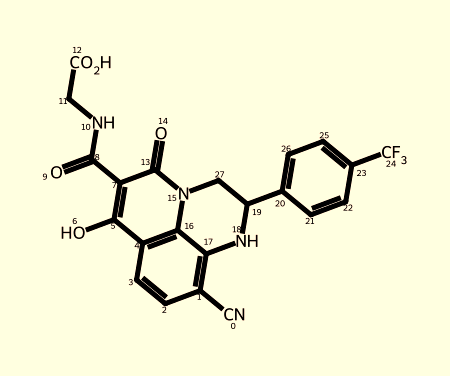 N#Cc1ccc2c(O)c(C(=O)NCC(=O)O)c(=O)n3c2c1NC(c1ccc(C(F)(F)F)cc1)C3